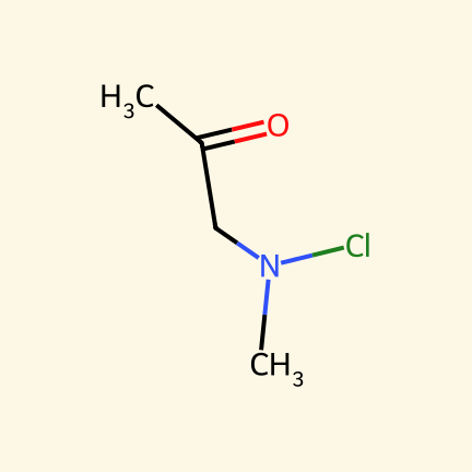 CC(=O)CN(C)Cl